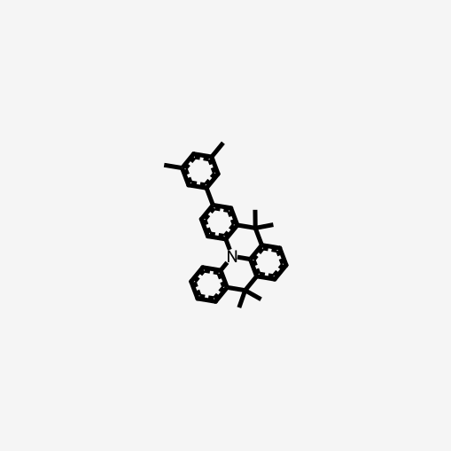 Cc1cc(C)cc(-c2ccc3c(c2)C(C)(C)c2cccc4c2N3c2ccccc2C4(C)C)c1